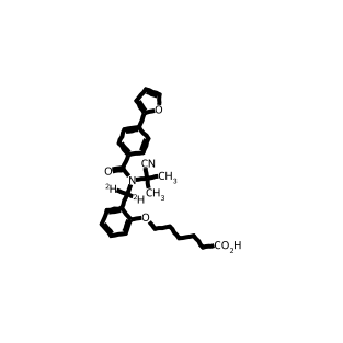 [2H]C([2H])(c1ccccc1OCCCCCC(=O)O)N(C(=O)c1ccc(-c2ccco2)cc1)C(C)(C)C#N